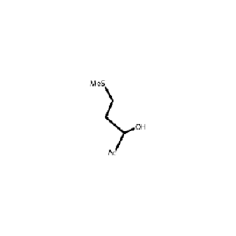 CSCCC(O)C(C)=O